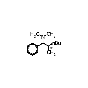 CCCC[C@@H](C)C(c1ccccc1)N(C)C